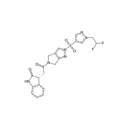 O=C1Nc2ccccc2[C@H]1CC(=O)N1Cc2cn(S(=O)(=O)c3cnn(CC(F)F)c3)nc2C1